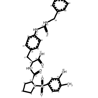 Cc1ccc(S(=O)(=O)N2CCC[C@H]2C(=O)N[C@@H](Cc2ccc(NC(=S)NCc3ccccc3)cc2)C(=O)O)cc1O